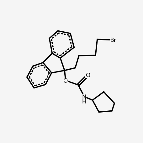 O=C(NC1CCCC1)OC1(CCCCBr)c2ccccc2-c2ccccc21